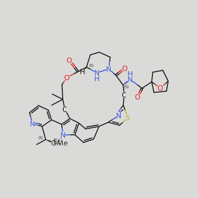 CCn1c(-c2cccnc2[C@H](C)OC)c2c3cc(ccc31)-c1csc(n1)C[C@H](NC(=O)C13CCC(CC1)O3)C(=O)N1CCC[C@H](N1)C(=O)OCC(C)(C)C2